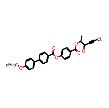 CCC#CC(=O)C(C)OC(=O)c1ccc(OC(=O)c2ccc(-c3ccc(OCCCCCCC)cc3)cc2)cc1